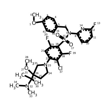 COc1ccc(CN(c2cccc(F)n2)S(=O)(=O)c2c(F)cc(N3CCC(OC)(C(C)(C)N(C)C)C3)c(Cl)c2F)cc1